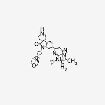 CC(C)n1cnc2cc(-c3ccc4c(c3)N(C3CC(N5C6CCC5COC6)C3)C(=O)C43CCNCC3)nc(NC3CC3)c21